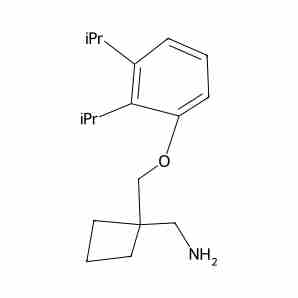 CC(C)c1cccc(OCC2(CN)CCC2)c1C(C)C